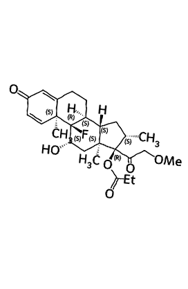 CCC(=O)O[C@]1(C(=O)COC)[C@@H](C)C[C@H]2[C@@H]3CCC4=CC(=O)C=C[C@]4(C)[C@@]3(F)[C@@H](O)C[C@@]21C